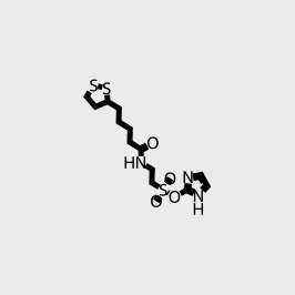 O=C(CCCCC1CCSS1)NCCS(=O)(=O)Oc1ncc[nH]1